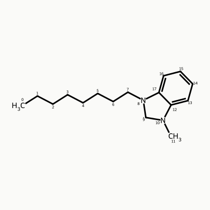 CCCCCCCCN1[CH]N(C)c2ccccc21